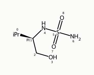 CC(C)[C@H](CO)NS(N)(=O)=O